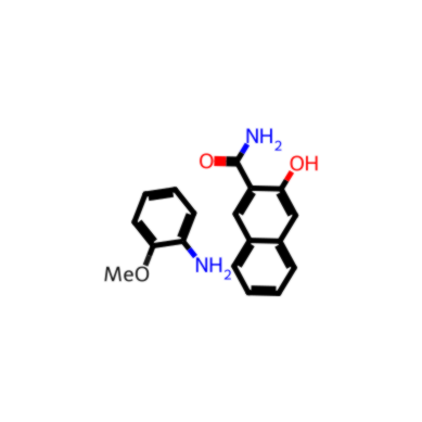 COc1ccccc1N.NC(=O)c1cc2ccccc2cc1O